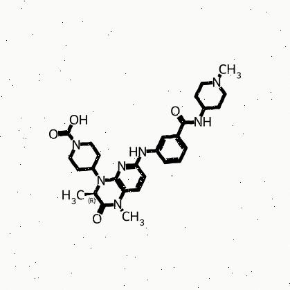 C[C@@H]1C(=O)N(C)c2ccc(Nc3cccc(C(=O)NC4CCN(C)CC4)c3)nc2N1C1CCN(C(=O)O)CC1